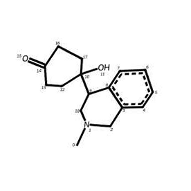 CN1Cc2ccccc2C(C2(O)CCC(=O)CC2)C1